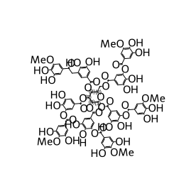 COc1cc(C(=O)Cc2cc(C(=O)O[C@H]3[C@H](OC(=O)c4cc(O)c(O)c(OC(=O)c5cc(O)c(OC)c(O)c5)c4)[C@@H](OC(=O)c4cc(O)c(O)c(OC(=O)c5cc(O)c(OC)c(O)c5)c4)[C@H](OC(=O)c4cc(O)c(O)c(OC(=O)c5cc(O)c(O)c(OC)c5)c4)O[C@@H]3COC(=O)c3cc(O)c(O)c(OC(=O)c4cc(O)c(O)c(OC)c4)c3)cc(O)c2O)cc(O)c1O